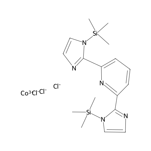 C[Si](C)(C)n1ccnc1-c1cccc(-c2nccn2[Si](C)(C)C)n1.[Cl-].[Cl-].[Cl-].[Co+3]